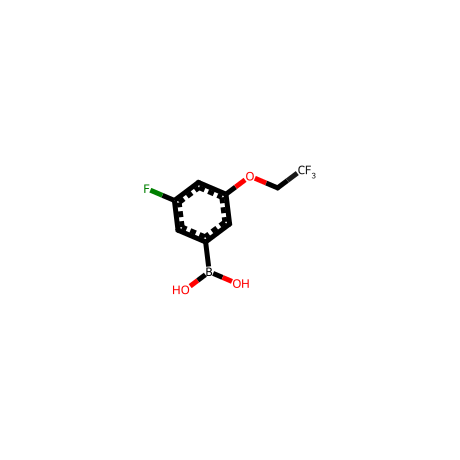 OB(O)c1cc(F)cc(OCC(F)(F)F)c1